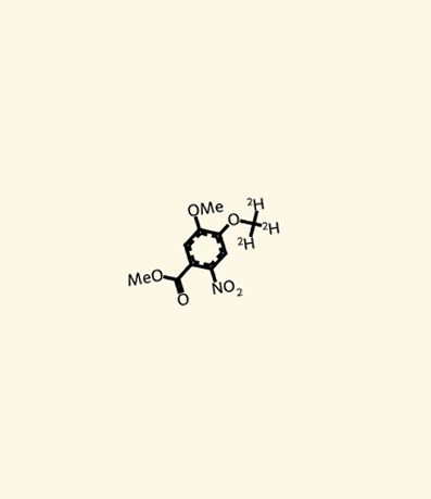 [2H]C([2H])([2H])Oc1cc([N+](=O)[O-])c(C(=O)OC)cc1OC